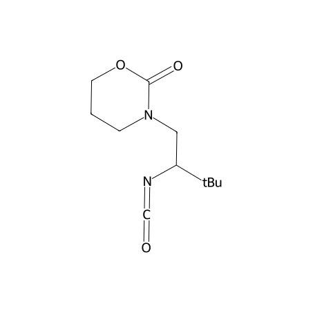 CC(C)(C)C(CN1CCCOC1=O)N=C=O